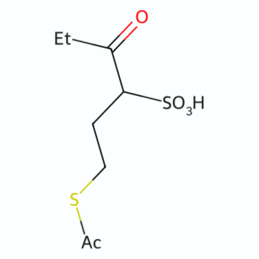 CCC(=O)C(CCSC(C)=O)S(=O)(=O)O